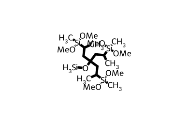 CO[Si](C)(OC)C(C)CC(CC(C)[Si](C)(OC)OC)(CC(C)[Si](C)(OC)OC)O[SiH3]